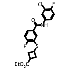 CCOC(=O)C1CC(Sc2cc(C(=O)Nc3ccc(F)c(Cl)c3)ccc2F)C1